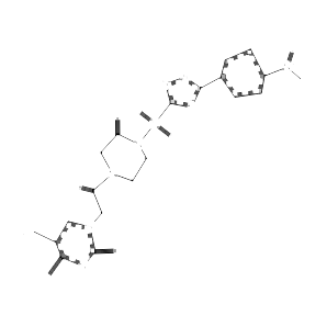 Cc1cn(CC(=O)N2CCN(S(=O)(=O)c3nnc(-c4ccc([N+](=O)[O-])cc4)s3)C(=O)C2)c(=O)[nH]c1=O